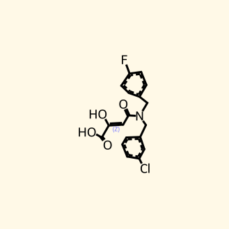 O=C(O)/C(O)=C/C(=O)N(Cc1ccc(F)cc1)Cc1cccc(Cl)c1